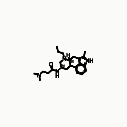 CCCN1C[C@@H](NC(=O)CCN(C)C)CC2c3cccc4[nH]c(C)c(c34)C[C@H]21